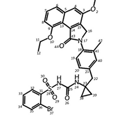 CCOc1cc2cccc(OCC)c2c2c1CN(c1ccc(CC3(NC(=O)NS(=O)(=O)c4ccccc4Br)CC3)cc1C)C2=O